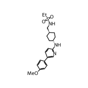 CCS(=O)(=O)NC[C@H]1CC[C@H](Nc2ccc(-c3ccc(OC)cc3)cn2)CC1